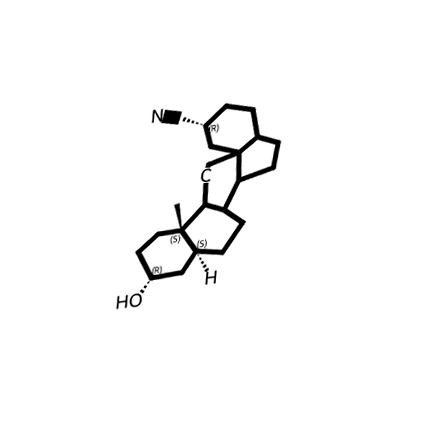 C[C@]12CC[C@@H](O)C[C@@H]1CCC1C3CCC4CC[C@@H](C#N)CC43CCC12